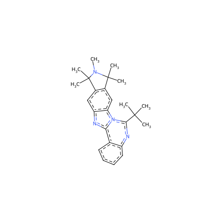 CN1C(C)(C)c2cc3nc4c5ccccc5nc(C(C)(C)C)n4c3cc2C1(C)C